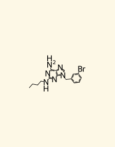 CCCCNc1nc(N)c2ncn(Cc3cccc(Br)c3)c2n1